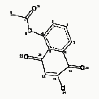 CC(=O)Oc1cccc2c1C(=O)C=C(Cl)C2=O